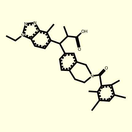 CCn1nnc2c(C)c(C(c3ccc4c(c3)CN(C(=O)c3c(C)c(C)cc(C)c3C)CC4)C(C)C(=O)O)ccc21